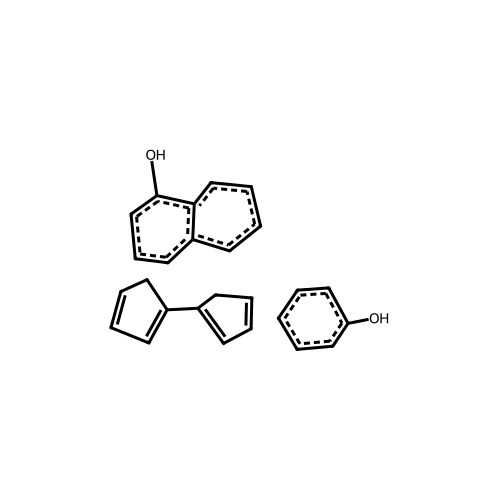 C1=CCC(C2=CC=CC2)=C1.Oc1cccc2ccccc12.Oc1ccccc1